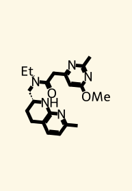 CCN(C[C@H]1CCc2ccc(C)nc2N1)C(=O)Cc1cc(OC)nc(C)n1